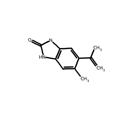 C=C(C)c1cc2c(cc1C)NC(=O)[N]2